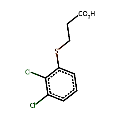 O=C(O)CCSc1cccc(Cl)c1Cl